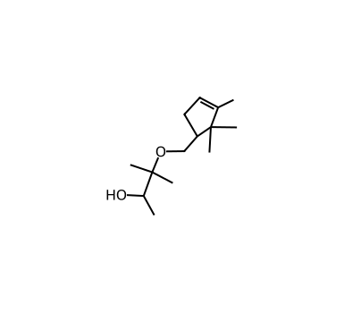 CC1=CCC(COC(C)(C)C(C)O)C1(C)C